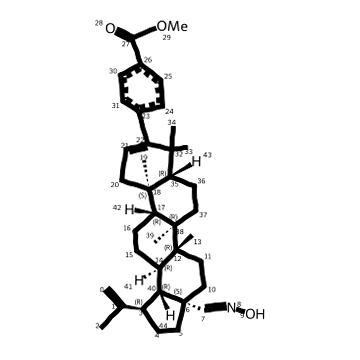 C=C(C)[C@@H]1CC[C@]2(C=NO)CC[C@]3(C)[C@H](CC[C@@H]4[C@@]5(C)CC=C(c6ccc(C(=O)OC)cc6)C(C)(C)[C@@H]5CC[C@]43C)[C@@H]12